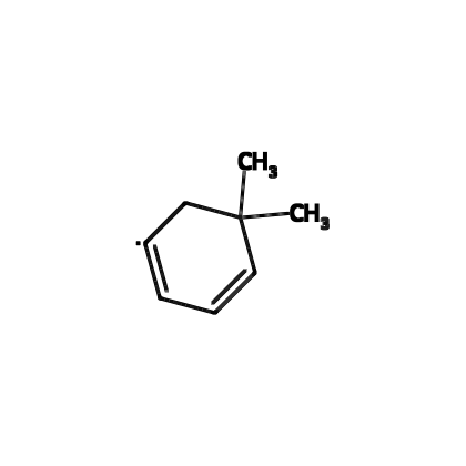 CC1(C)C=CC=[C]C1